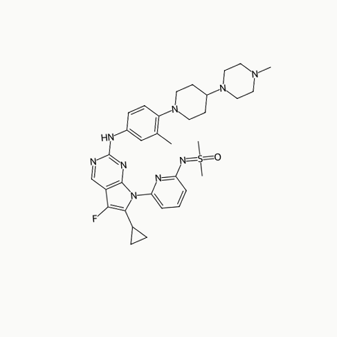 Cc1cc(Nc2ncc3c(F)c(C4CC4)n(-c4cccc(N=S(C)(C)=O)n4)c3n2)ccc1N1CCC(N2CCN(C)CC2)CC1